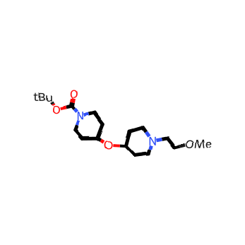 COCCN1CCC(OC2CCN(C(=O)OC(C)(C)C)CC2)CC1